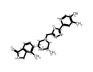 Cc1cc(-c2nnc(CN3C[C@@H](c4ccc5c(c4C)COC5=O)N[C@@H](C)C3)o2)ncc1C#N